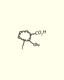 CC(C)(C)c1c(I)cccc1C(=O)O